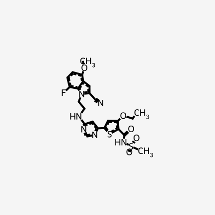 CCOc1cc(-c2cc(NCCn3c(C#N)cc4c(OC)ccc(F)c43)ncn2)sc1C(=O)NS(C)(=O)=O